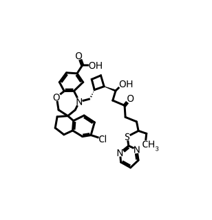 CCC(CCC(=O)CC(O)[C@@H]1CC[C@H]1CN1CC2(CCCc3cc(Cl)ccc32)COc2ccc(C(=O)O)cc21)Sc1ncccn1